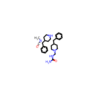 CN=C=O.NC(=O)NCN1CCC(Cc2ccccc2)CC1.c1ccc(CC2CCNCC2)cc1